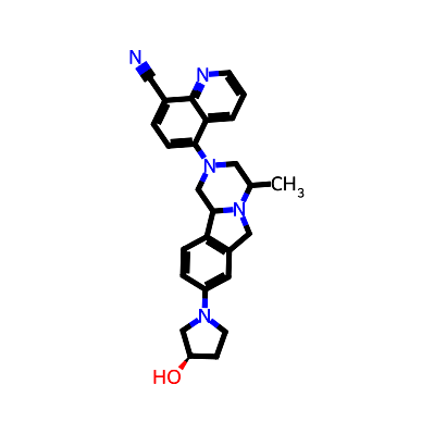 CC1CN(c2ccc(C#N)c3ncccc23)CC2c3ccc(N4CC[C@@H](O)C4)cc3CN12